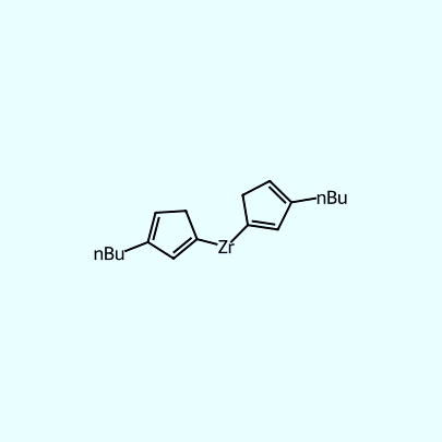 CCCCC1=CC[C]([Zr][C]2=CC(CCCC)=CC2)=C1